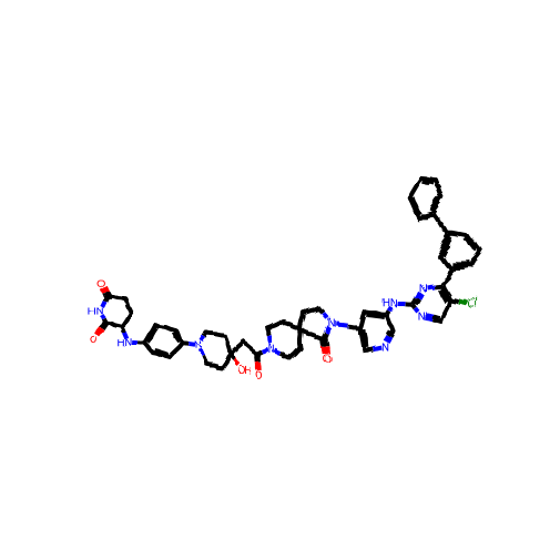 O=C1CCC(Nc2ccc(N3CCC(O)(CC(=O)N4CCC5(CC4)CCN(c4cncc(Nc6ncc(Cl)c(-c7cccc(-c8ccccc8)c7)n6)c4)C5=O)CC3)cc2)C(=O)N1